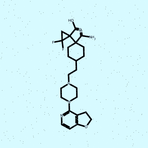 NC(=O)C1(C2(C(=O)O)CC2(F)F)CCC(CCN2CCN(c3nccc4c3CCO4)CC2)CC1